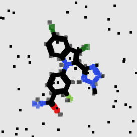 Cn1nnc(-c2c(Cl)c3cc(Cl)ccc3n2-c2ccc(C(N)=O)c(F)c2)n1